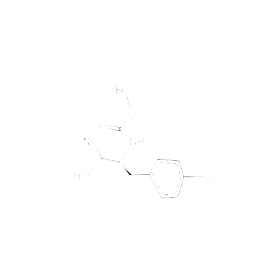 CC(C)(C)OC(=O)N[C@@H](Cc1ccc(Cl)cc1)C(O)C#N